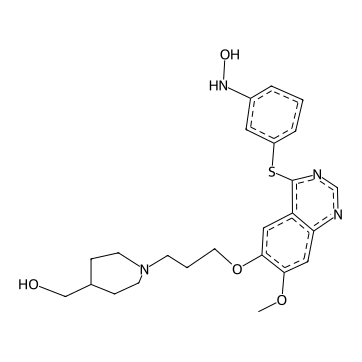 COc1cc2ncnc(Sc3cccc(NO)c3)c2cc1OCCCN1CCC(CO)CC1